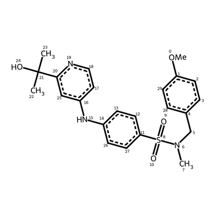 COc1ccc(CN(C)S(=O)(=O)c2ccc(Nc3ccnc(C(C)(C)O)c3)cc2)cc1